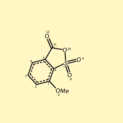 COc1cccc2c1S(=O)(=O)OC2=O